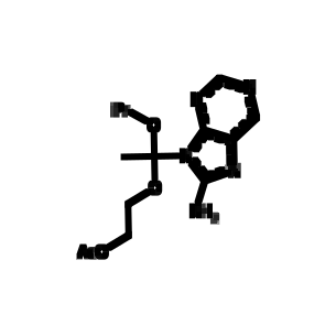 CC(=O)OCCOC(C)(OC(C)C)n1c(N)nc2cncnc21